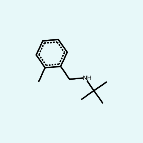 Cc1ccccc1CNC(C)(C)C